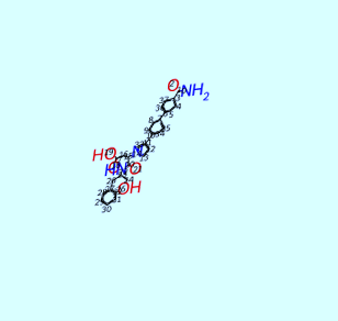 NC(=O)c1ccc(-c2ccc(-c3ccn(C(CC(=O)O)C(=O)NC(CO)Cc4ccccc4)c3)cc2)cc1